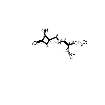 CCOC(=O)/C(=C/NCC1CC(=O)C1O)N=N